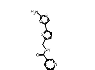 Nc1nc(-c2ccc(CNC(=O)c3cccnc3)s2)cs1